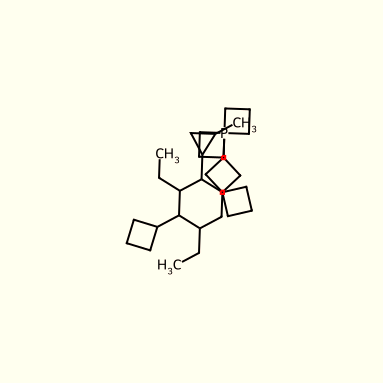 CCC(CC1CC(P23(CCC2)CCC3)C1)C(C1CCC1)C(CC)C(C1CCC1)C1CC1C